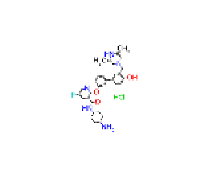 C[C@@H]1CN(Cc2cc(-c3cccc(Oc4ncc(F)cc4C(=O)N[C@H]4CC[C@H](N)CC4)c3)ccc2O)C[C@H](C)N1.Cl